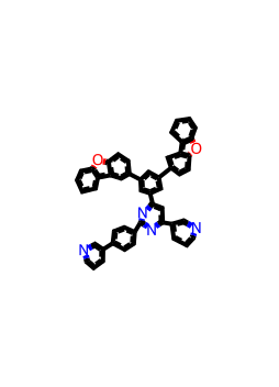 c1cncc(-c2ccc(-c3nc(-c4cccnc4)cc(-c4cc(-c5ccc6oc7ccccc7c6c5)cc(-c5ccc6oc7ccccc7c6c5)c4)n3)cc2)c1